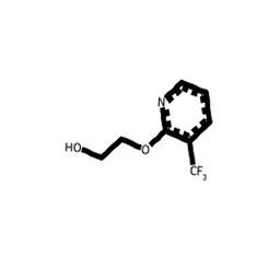 OCCOc1ncccc1C(F)(F)F